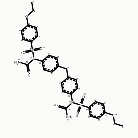 CCOc1ccc(S(=O)(=O)N(C(N)=S)c2ccc(Cc3ccc(N(C(N)=S)S(=O)(=O)c4ccc(OCC)cc4)cc3)cc2)cc1